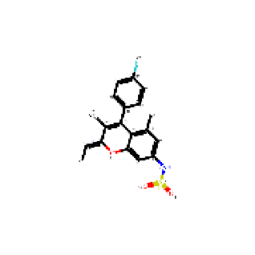 C/C=C1\Oc2cc(N[SH](=O)=O)cc(C)c2C(c2ccc(F)cc2)=C1C#N